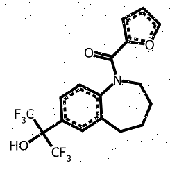 O=C(c1ccco1)N1CCCCc2cc(C(O)(C(F)(F)F)C(F)(F)F)ccc21